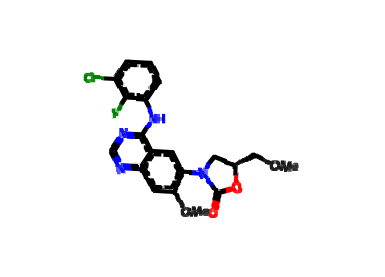 COC[C@@H]1CN(c2cc3c(Nc4cccc(Cl)c4F)ncnc3cc2OC)C(=O)O1